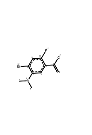 C=C(Cl)c1cc(B(C)C)c(CC)cc1F